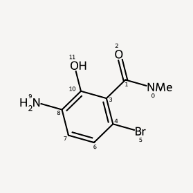 CNC(=O)c1c(Br)ccc(N)c1O